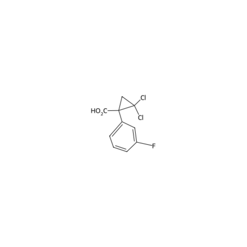 O=C(O)C1(c2cccc(F)c2)CC1(Cl)Cl